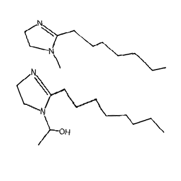 CCCCCCCC1=NCCN1C.CCCCCCCCC1=NCCN1C(C)O